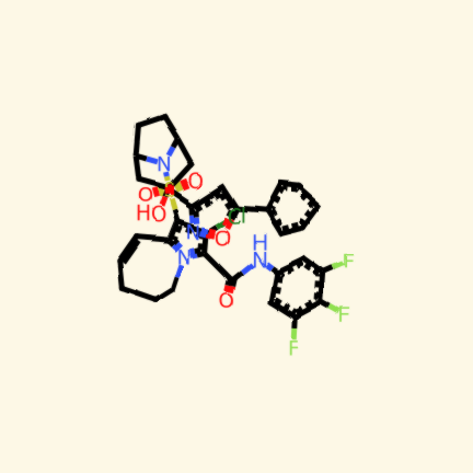 O=C(Nc1cc(F)c(F)c(F)c1)c1c(Cl)c(S(=O)(=O)N2C3CCC2CC(O)(c2cc(-c4ccccc4)on2)C3)c2n1CCCC=C2